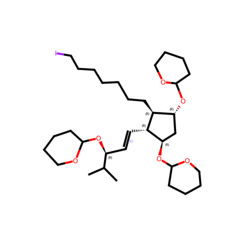 CC(C)[C@H](/C=C/[C@@H]1[C@@H](CCCCCCCI)[C@H](OC2CCCCO2)C[C@H]1OC1CCCCO1)OC1CCCCO1